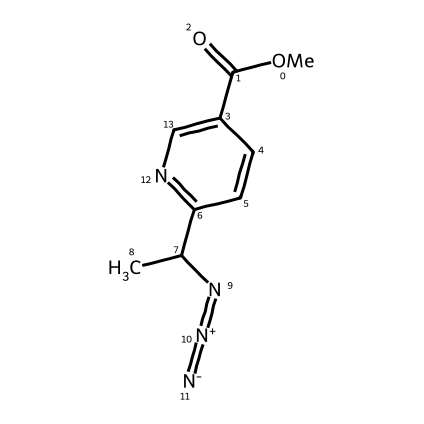 COC(=O)c1ccc(C(C)N=[N+]=[N-])nc1